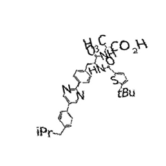 CC(C)Cc1ccc(-c2cnc(-c3ccc(C[C@H](NC(=O)c4ccc(C(C)(C)C)s4)C(=O)N[C@H](C)C(=O)O)cc3)nc2)cc1